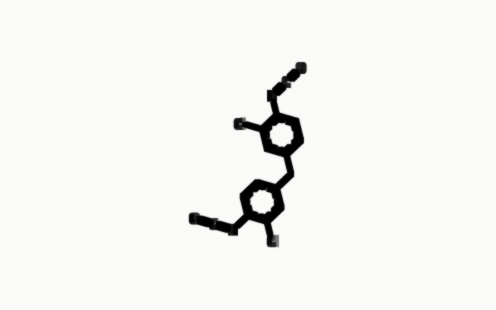 O=C=Nc1ccc(Cc2ccc(N=C=O)c(Cl)c2)cc1Cl